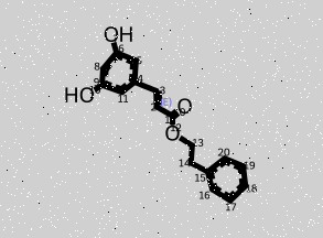 O=C(/C=C/c1cc(O)cc(O)c1)OCCc1ccccc1